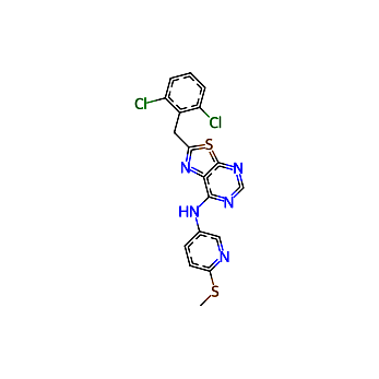 CSc1ccc(Nc2ncnc3sc(Cc4c(Cl)cccc4Cl)nc23)cn1